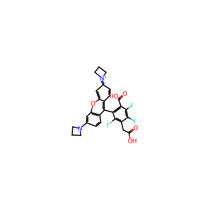 O=C(O)Cc1c(F)c(F)c(C(=O)O)c(-c2c3ccc(=[N+]4CCC4)cc-3oc3cc(N4CCC4)ccc23)c1F